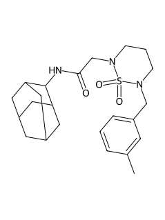 Cc1cccc(CN2CCCN(CC(=O)NC3C4CC5CC(C4)CC3C5)S2(=O)=O)c1